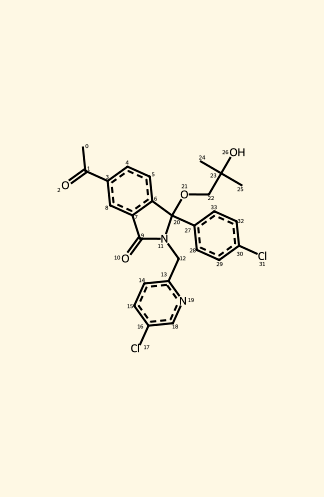 CC(=O)c1ccc2c(c1)C(=O)N(Cc1ccc(Cl)cn1)C2(OCC(C)(C)O)c1ccc(Cl)cc1